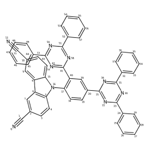 N#Cc1ccc2c(c1)c1cc(C#N)ccc1n2-c1ccc(-c2nc(-c3ccccc3)nc(-c3ccccc3)n2)cc1-c1nc(-c2ccccc2)nc(-c2ccccc2)n1